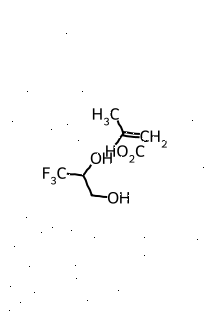 C=C(C)C(=O)O.OCC(O)C(F)(F)F